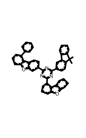 CC1(C)c2ccccc2-c2cc(-c3nc(-c4ccc5c(c4)oc4cccc(-c6ccccc6)c45)nc(-c4cccc5oc6ccccc6c45)n3)ccc21